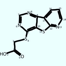 O=C(O)CSc1ncnc2c1sc1ncccc12